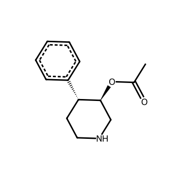 CC(=O)O[C@H]1CNCC[C@@H]1c1ccccc1